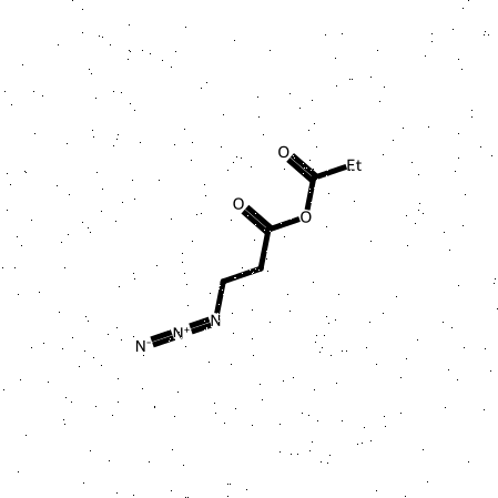 CCC(=O)OC(=O)CCN=[N+]=[N-]